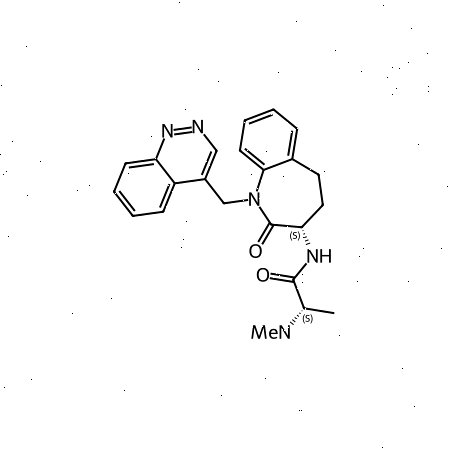 CN[C@@H](C)C(=O)N[C@H]1CCc2ccccc2N(Cc2cnnc3ccccc23)C1=O